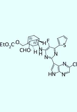 CCOC(=O)OCC12CCC(CC1)[C@H](Nc1nc(-c3c[nH]c4ncc(Cl)nc34)nc(-c3cccs3)c1F)[C@H]2[C]=O